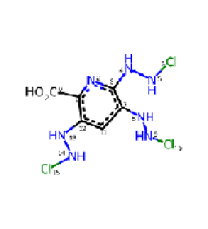 O=C(O)c1nc(NNCl)c(NNCl)cc1NNCl